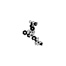 CC(C)(C)OC(=O)N[C@H](CF)[C@H]1CC[C@H](C(=O)N2CC[C@@H](C3CCCCC3)[C@H]2C(=O)Nc2ccc3c(c2)cc2n3C(CF)(CF)OC2=O)CC1